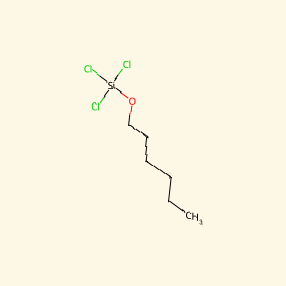 CCCCCCO[Si](Cl)(Cl)Cl